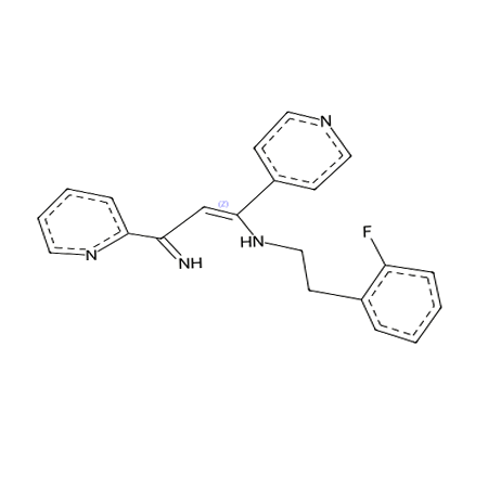 N=C(/C=C(\NCCc1ccccc1F)c1ccncc1)c1ccccn1